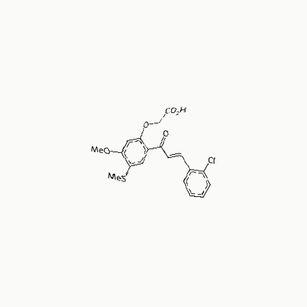 COc1cc(OCC(=O)O)c(C(=O)C=Cc2ccccc2Cl)cc1SC